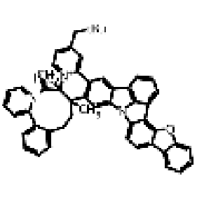 C=C1[n+]2ccccc2-c2ccccc2CCC2(C)c3cc4c(cc3-c3cc(CC(C)(C)C)cc[n+]3C12C)c1cccc2c3c5oc6ccccc6c5ccc3n4c12